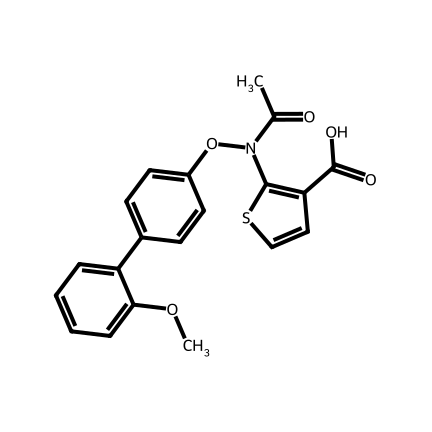 COc1ccccc1-c1ccc(ON(C(C)=O)c2sccc2C(=O)O)cc1